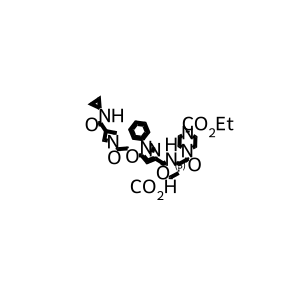 CCOC(=O)N1CCN(C(=O)[C@H](CCC(=O)O)NC(=O)c2cc(OCC(=O)N3CC(C(=O)NC4CC4)C3)n(-c3ccccc3)n2)CC1